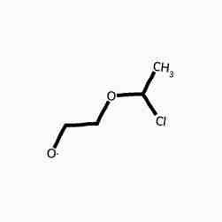 CC(Cl)OCC[O]